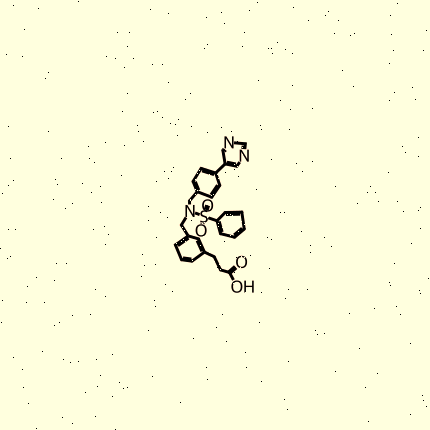 O=C(O)CCc1cccc(CN(Cc2ccc(-c3cncnc3)cc2)S(=O)(=O)c2ccccc2)c1